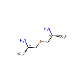 N[C@H](CSC[C@H](N)C(=O)O)C(=O)O